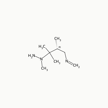 C=NC[C@@H](C)C(C)(C)N(C)N